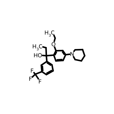 CCOc1cc(N2CCCCC2)ccc1C(O)(CC)c1cccc(C(F)(F)F)c1